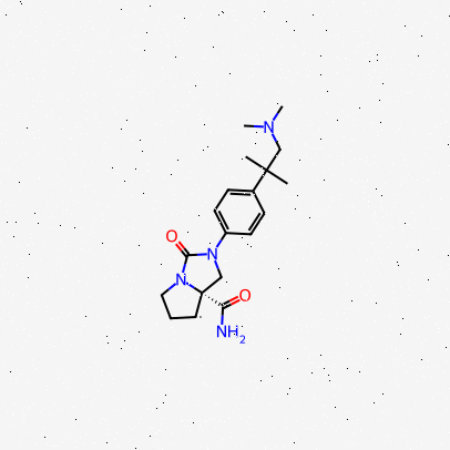 CN(C)CC(C)(C)c1ccc(N2C[C@@]3(C(N)=O)[CH]CCN3C2=O)cc1